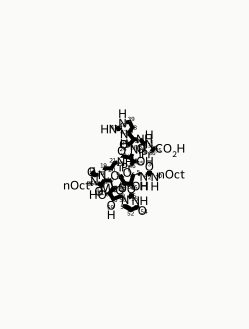 CCCCCCCCNC(=O)NC[C@H]1OC(OC(C2C(=O)N(CCCCCCCC)C(=O)N2CCCNC(=O)C(NC(=O)C(NC(=O)NC(C(=O)O)C(C)C)C2CCNC(=N)N2)C(O)C(C)C)[C@H]2O[C@@H](n3ccc(=O)[nH]c3=O)[C@H](O)[C@H]2O)[C@@H](OC)[C@H]1O